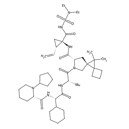 C=C[C@@H]1C[C@]1(NC(=O)[C@@H]1C[C@@]2(CN1C(=O)[C@@H](NC(=O)[C@@H](NC(=O)[C@@H]1CCCCN1C1CCCC1)C1CCCCC1)C(C)(C)C)C(C)(C)C21CCC1)C(=O)NS(=O)(=O)N(CC)CC